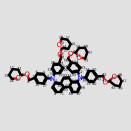 c1cc(N(c2ccc(COC3CCCCO3)cc2)c2ccc(COC3CCCCO3)cc2)c2ccc3c(N(c4ccc(COC5CCCCO5)cc4)c4ccc(COC5CCCCO5)cc4)cccc3c2c1